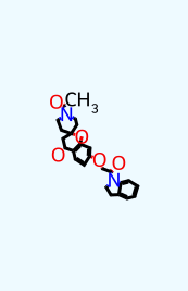 CC(=O)N1CCC2(CC1)CC(=O)c1ccc(OCC(=O)N3CCc4ccccc43)cc1O2